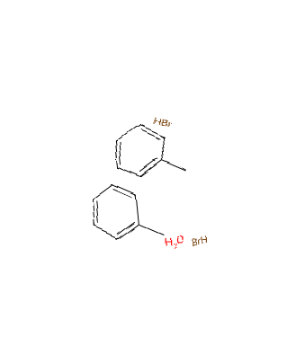 Br.Br.Cc1ccccc1.Cc1ccccc1.O